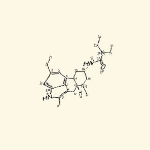 CCc1cc2c3c(c(C)[nH]c3c1)C[C@@H]1C2C[C@H](NC(=O)N(CC)CC)CN1C